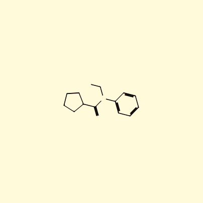 [CH2]CN(C(=O)C1CCCC1)c1ccccc1